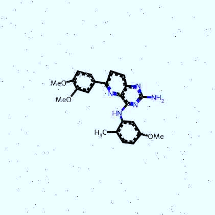 COc1ccc(C)c(Nc2nc(N)nc3ccc(-c4ccc(OC)c(OC)c4)nc23)c1